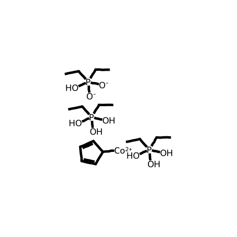 CCP(O)(O)(O)CC.CCP(O)(O)(O)CC.CCP([O-])([O-])(O)CC.[Co+2][CH]1C=CC=C1